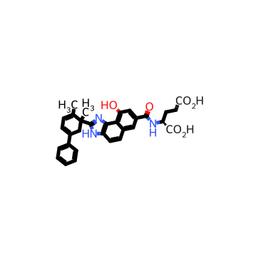 CC1=CC=C(c2ccccc2)CC1(C)c1nc2c(ccc3cc(C(=O)N[C@@H](CCC(=O)O)C(=O)O)cc(O)c32)[nH]1